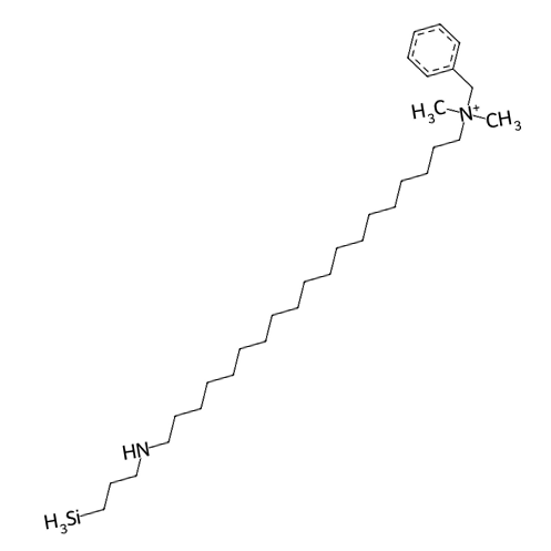 C[N+](C)(CCCCCCCCCCCCCCCCCCCNCCC[SiH3])Cc1ccccc1